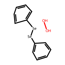 OO.c1ccc([Se][Se]c2ccccc2)cc1